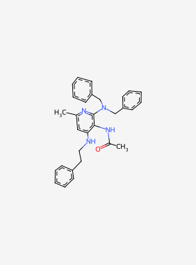 CC(=O)Nc1c(NCCc2ccccc2)cc(C)nc1N(Cc1ccccc1)Cc1ccccc1